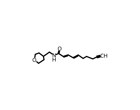 C#CCCC/C=C/C=C/C(=O)NCC1CCOCC1